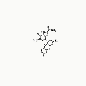 CCc1ccc(Oc2ccc(F)cc2F)c(-c2cn(C)c(=O)c3[nH]c(C(N)=O)cc23)c1